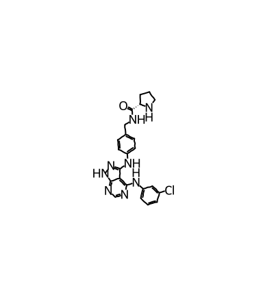 O=C(NCc1ccc(Nc2n[nH]c3ncnc(Nc4cccc(Cl)c4)c23)cc1)[C@@H]1CCCN1